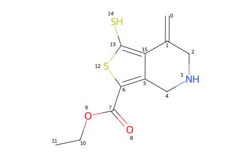 C=C1CNCc2c(C(=O)OCC)sc(S)c21